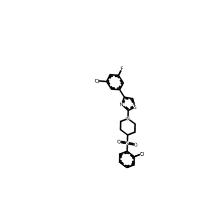 O=S(=O)(c1ccccc1Cl)C1CCN(c2nc(-c3cc(F)cc(Cl)c3)cs2)CC1